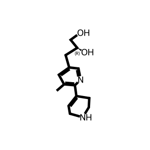 Cc1cc(C[C@@H](O)CO)cnc1C1=CCNCC1